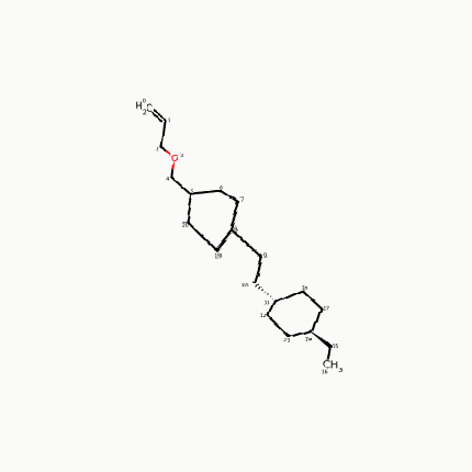 C=CCOCC1CCC(CC[C@H]2CC[C@H](CC)CC2)CC1